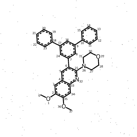 COc1cc2cc(-c3cc(-c4ccccc4)cc(-c4ccccc4)c3)c(N3CCOCC3)nc2cc1OC